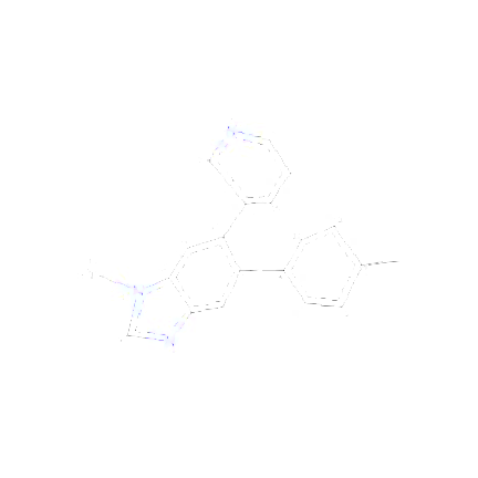 Cc1ccc(-c2cc3ncn(C(C)C)c3cc2-c2cccnc2)cc1